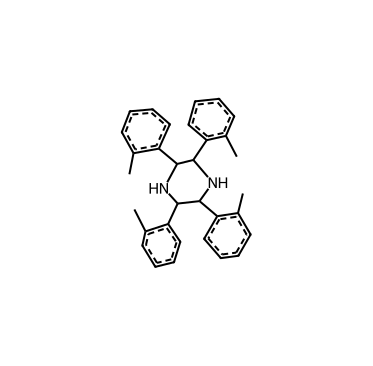 Cc1ccccc1C1NC(c2ccccc2C)C(c2ccccc2C)NC1c1ccccc1C